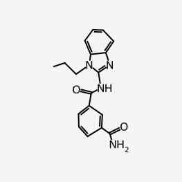 CCCn1c(NC(=O)c2cccc(C(N)=O)c2)nc2ccccc21